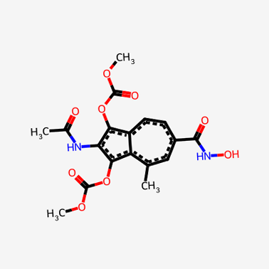 COC(=O)Oc1c2ccc(C(=O)NO)cc(C)c-2c(OC(=O)OC)c1NC(C)=O